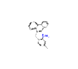 Cc1ccc(Cc2cc3ccccc3c3ccccc23)c(N)c1